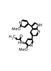 C=CC(=O)Nc1cc(-c2cnc3[nH]cc(-c4ccnc(OC)c4)c3c2)cnc1OC